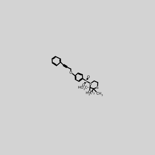 CC1(C)SCCN(S(=O)(=O)c2ccc(OCC#Cc3ccccc3)cc2)[C@@]1(C)C(=O)O